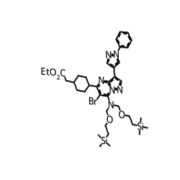 CCOC(=O)CC1CCC(c2nc3c(-c4cnn(-c5ccccc5)c4)cnn3c(N(COCC[Si](C)(C)C)COCC[Si](C)(C)C)c2Br)CC1